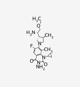 CCOC[C@@H](N)[C@H]1CN(c2c(F)cc3c(=O)n(N)c(=O)n(C4CC4)c3c2C)C[C@@H]1C